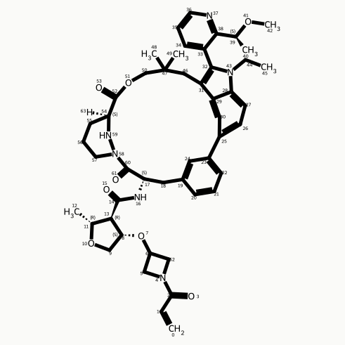 C=CC(=O)N1CC(O[C@@H]2CO[C@H](C)[C@H]2C(=O)N[C@H]2Cc3cccc(c3)-c3ccc4c(c3)c(c(-c3cccnc3[C@H](C)OC)n4CC)CC(C)(C)COC(=O)[C@@H]3CCCN(N3)C2=O)C1